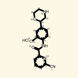 Cl.N#Cc1cccc(C(=O)Nc2ccc(C3CNCCO3)cc2Cl)n1